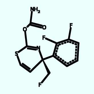 NC(=O)OC1=N[C@](CF)(c2cccc(F)c2F)C=CS1